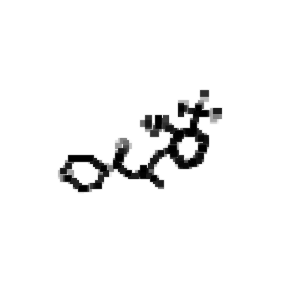 CN(CC(=O)N1CCOCC1)Cc1cccc(C(F)(F)F)c1N